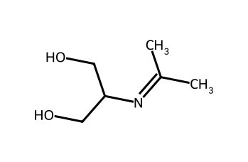 CC(C)=NC(CO)CO